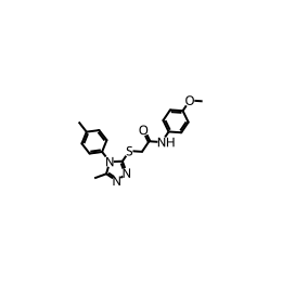 COc1ccc(NC(=O)CSc2nnc(C)n2-c2ccc(C)cc2)cc1